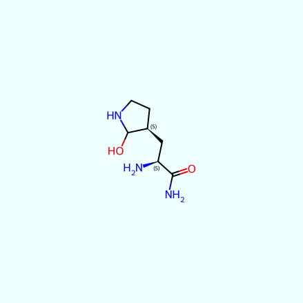 NC(=O)[C@@H](N)C[C@@H]1CCNC1O